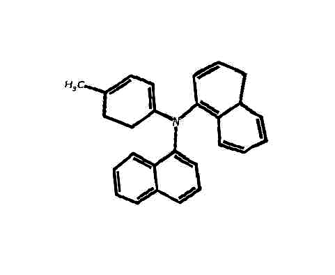 CC1=CC=C(N(C2=C3C=CC=CC3CC=C2)c2cccc3ccccc23)CC1